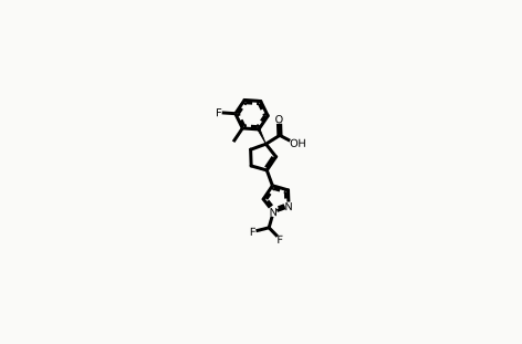 Cc1c(F)cccc1[C@@]1(C(=O)O)C=C(c2cnn(C(F)F)c2)CC1